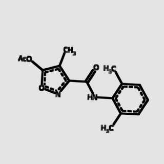 CC(=O)Oc1onc(C(=O)Nc2c(C)cccc2C)c1C